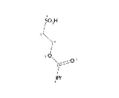 CC(C)C(=O)OCCS(=O)(=O)O